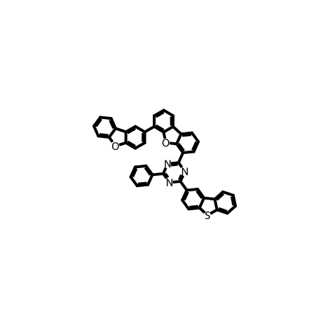 c1ccc(-c2nc(-c3ccc4sc5ccccc5c4c3)nc(-c3cccc4c3oc3c(-c5ccc6oc7ccccc7c6c5)cccc34)n2)cc1